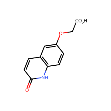 O=C(O)COc1ccc2[nH]c(=O)ccc2c1